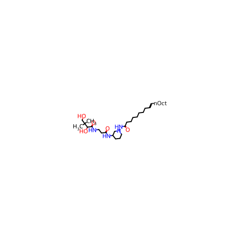 CCCCCCCC/C=C/CCCCCCCC(=O)NN1CCCC(NC(=O)CCNC(=O)C(O)C(C)(C)CO)C1